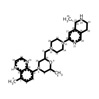 Cc1ccc(N2CC(C)OC(CN3CCN(c4cc5c(cn4)CCN[C@H]5C)CC3)C2)c2nccnc12